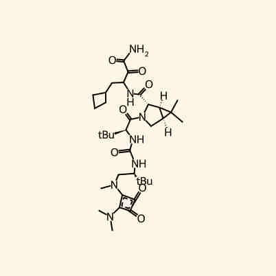 CN(C)c1c(N(C)C[C@@H](NC(=O)N[C@H](C(=O)N2C[C@H]3[C@@H]([C@H]2C(=O)NC(CC2CCC2)C(=O)C(N)=O)C3(C)C)C(C)(C)C)C(C)(C)C)c(=O)c1=O